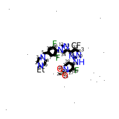 CCN1CCN(Cc2cc(F)c(-n3cnc(-c4nc(N[C@H]5CCN(S(C)(=O)=O)C[C@H]5F)ncc4C(F)(F)F)c3)c(F)c2)CC1